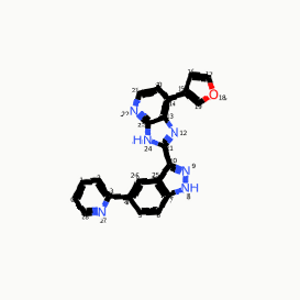 c1ccc(-c2ccc3[nH]nc(-c4nc5c(-c6ccoc6)ccnc5[nH]4)c3c2)nc1